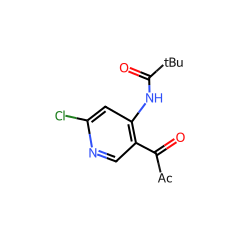 CC(=O)C(=O)c1cnc(Cl)cc1NC(=O)C(C)(C)C